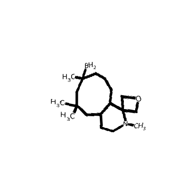 BC1(C)CCCC2C(CCN(C)C23COC3)CC(C)(C)C1